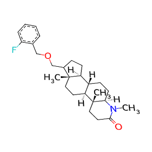 CN1C(=O)CC[C@]2(C)[C@H]3CC[C@]4(C)C(COCc5ccccc5F)CC[C@H]4[C@@H]3CC[C@@H]12